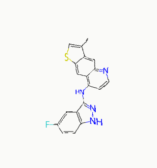 Cc1csc2cc3c(Nc4n[nH]c5ccc(F)cc45)ccnc3cc12